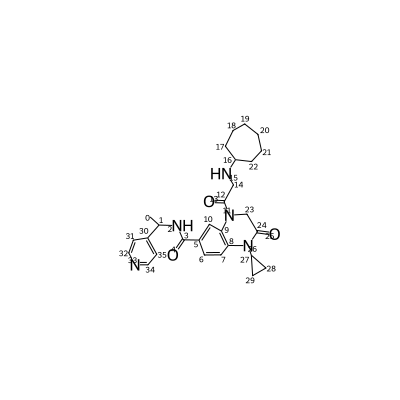 CC(NC(=O)c1ccc2c(c1)N(C(=O)CNC1CCCCCC1)CC(=O)N2C1CC1)c1ccncc1